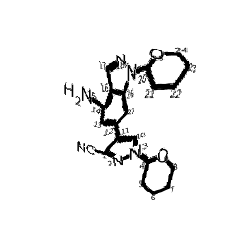 N#Cc1nn(C2CCCCO2)cc1-c1cc(N)c2cnn(C3CCCCO3)c2c1